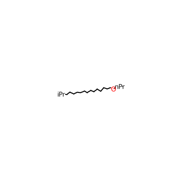 CC[CH]OCCCCCCCCCCCCCCC(C)C